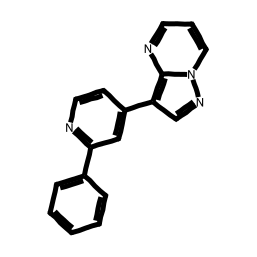 c1ccc(-c2cc(-c3cnn4cccnc34)ccn2)cc1